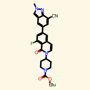 Cn1cc2cc(-c3cc(F)c4c(=O)n(C5CCN(C(=O)OC(C)(C)C)CC5)ccc4c3)cc(C#N)c2n1